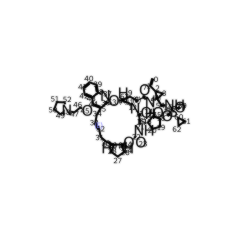 C=CC1C[C@]1(NC(=O)[C@@H]1C[C@@H]2CN1C(=O)[C@H](C1CCCC1)NC(=O)O[C@@H]1CCC[C@H]1CC/C=C/Cc1c(nc3ccccc3c1OCCN1CCCC1)O2)C(=O)NS(=O)(=O)C1CC1